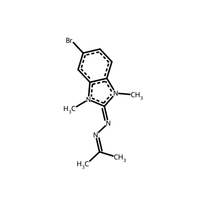 CC(C)=NN=c1n(C)c2ccc(Br)cc2n1C